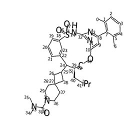 Cc1cccc(C)c1-c1cc2nc(n1)NS(=O)(=O)c1cccc(c1)C(C1CC3(CCN(C(=O)N(C)C)CC3)C1)[C@H](CC(C)C)CO2